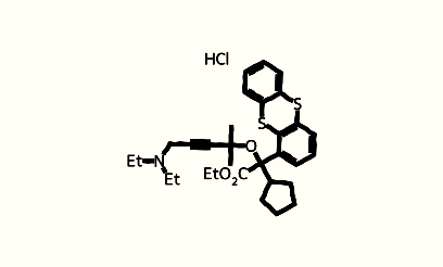 CCOC(=O)C(OC(C)(C)C#CCN(CC)CC)(c1cccc2c1Sc1ccccc1S2)C1CCCC1.Cl